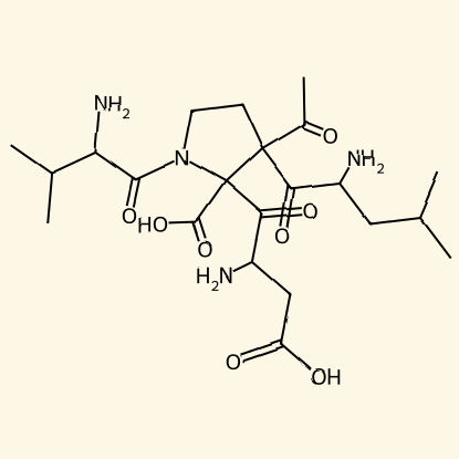 CC(=O)C1(C(=O)C(N)CC(C)C)CCN(C(=O)C(N)C(C)C)C1(C(=O)O)C(=O)C(N)CC(=O)O